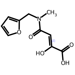 CN(Cc1ccco1)C(=O)/C=C(\O)C(=O)O